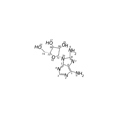 Nc1ncnc2c1nc(N)n2[C@@H]1O[C@H](CO)C(O)C1O